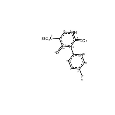 CCOC(=O)c1c[nH]c(=O)n(-c2ccc(F)cn2)c1=O